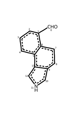 O=Cc1cccc2c1ccc1c[nH]cc12